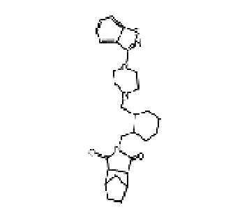 O=C1C2C3CCC(C3)C2C(=O)N1CC1CCCCC1CN1CCN(c2nsc3ccccc23)CC1